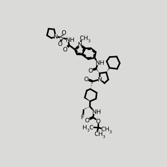 Cn1c(C(=O)NS(=O)(=O)N2CCCC2)cc2cc(NC(=O)[C@@H]3[C@H](C4CCCCC4)CCN3C(=O)[C@H]3CC[C@H]([C@@H](CF)NC(=O)OC(C)(C)C)CC3)ccc21